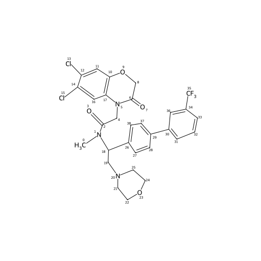 CN(C(=O)CN1C(=O)COc2cc(Cl)c(Cl)cc21)C(CN1CCOCC1)c1ccc(-c2cccc(C(F)(F)F)c2)cc1